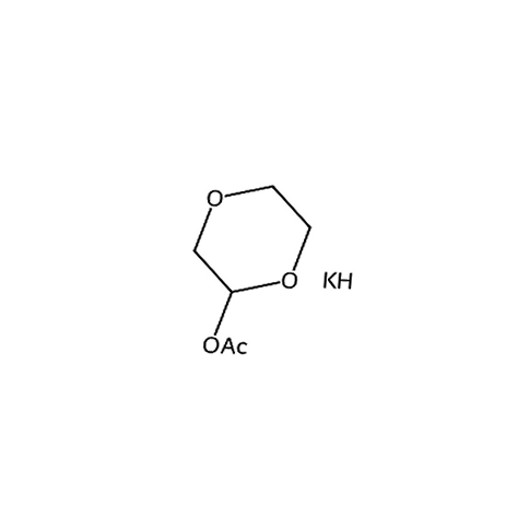 CC(=O)OC1COCCO1.[KH]